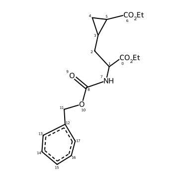 CCOC(=O)C(CC1CC1C(=O)OCC)NC(=O)OCc1ccccc1